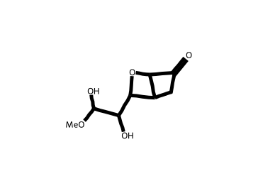 COC(O)C(O)C1OC2C(=O)CC21